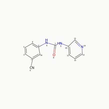 N#Cc1cccc(NC(=O)Nc2cccnc2)c1